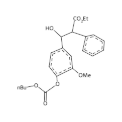 CCCCOC(=O)Oc1ccc(C(O)C(C(=O)OCC)c2ccccc2)cc1OC